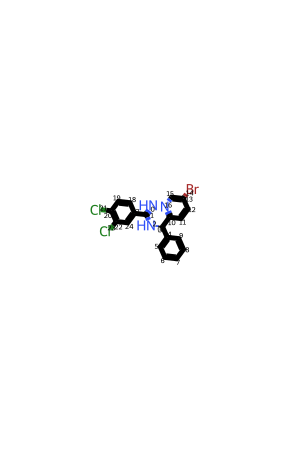 N=C(N[C@@H](c1ccccc1)c1ccc(Br)cn1)c1ccc(Cl)c(Cl)c1